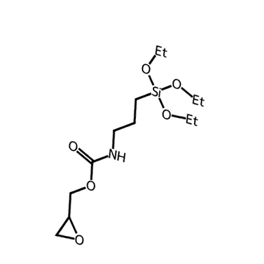 CCO[Si](CCCNC(=O)OCC1CO1)(OCC)OCC